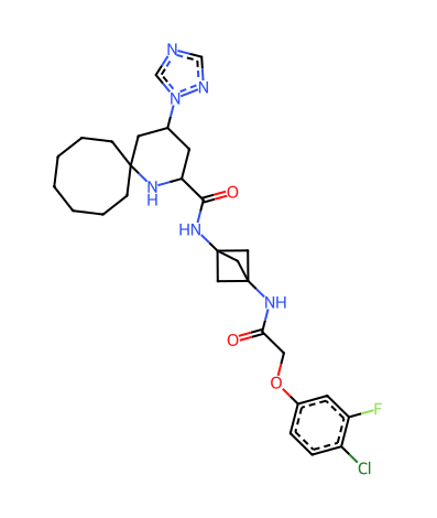 O=C(COc1ccc(Cl)c(F)c1)NC12CC(NC(=O)C3CC(n4cncn4)CC4(CCCCCCC4)N3)(C1)C2